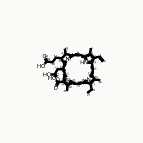 C=Cc1c(C)c2cc3nc(c(CC(=O)O)c4[nH]c(cc5nc(cc1[nH]2)C(C)=C5CC)c(C)c4C(=O)O)C(CCC(=O)O)C3C